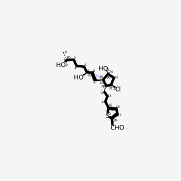 C[C@@H](O)CCC[C@H](O)/C=C/[C@@H]1[C@@H](CCCc2ccc(C=O)s2)[C@H](Cl)C[C@H]1O